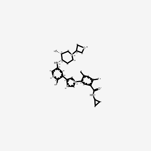 Cc1cc(F)c(C(=O)NC2CC2)cc1-n1cnc(-c2cc(N[C@H]3CCN(C4COC4)C[C@H]3F)cnc2F)c1